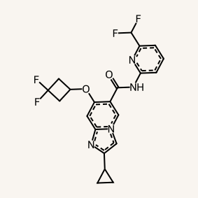 O=C(Nc1cccc(C(F)F)n1)c1cn2cc(C3CC3)nc2cc1OC1CC(F)(F)C1